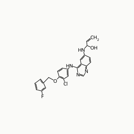 C=CC(O)Nc1ccc2ncnc(Nc3ccc(OCc4cccc(F)c4)c(Cl)c3)c2c1